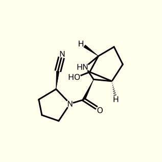 N#C[C@@H]1CCCN1C(=O)[C@H]1N[C@@H]2CC[C@@H]1C2O